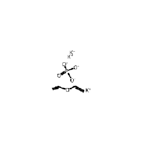 C=COC=C.O=P([O-])([O-])[O-].[K+].[K+].[K+]